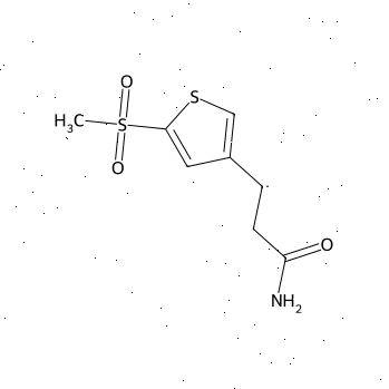 CS(=O)(=O)c1cc([CH]CC(N)=O)cs1